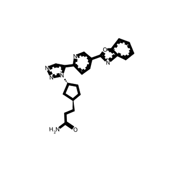 NC(=O)CC[C@@H]1CC[C@@H](n2nncc2-c2ccc(-c3nc4ccccc4o3)cn2)C1